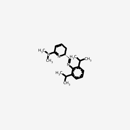 CC(C)c1cccc(C(C)C)c1/N=C/[C@H]1CC=CC(N(C)C)=N1